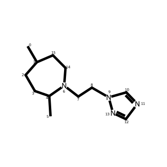 CC1CCC(C)N(CCn2cncn2)CC1